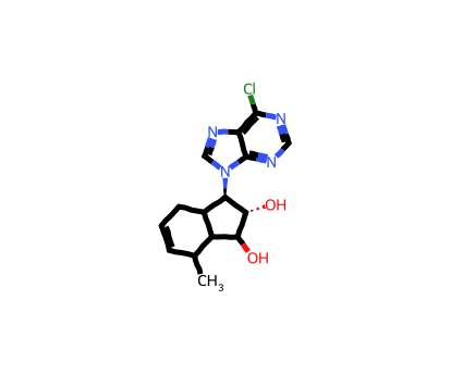 CC1C=CCC2C1C(O)[C@@H](O)[C@@H]2n1cnc2c(Cl)ncnc21